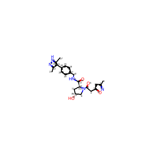 Cc1cc(CC(=O)N2C[C@H](O)C[C@H]2C(=O)NCc2ccc(-c3c(C)n[nH]c3C)cc2)on1